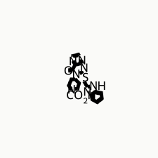 O=C(O)N1CCC(n2c(SCc3nc4ccccc4[nH]3)nc3nccnc3c2=O)CC1